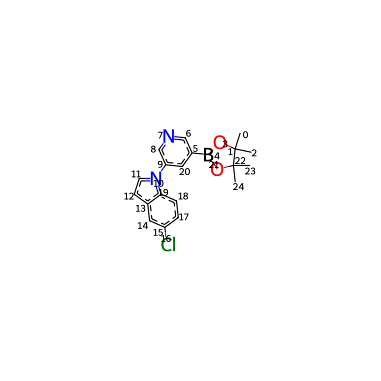 CC1(C)OB(c2cncc(-n3ccc4cc(Cl)ccc43)c2)OC1(C)C